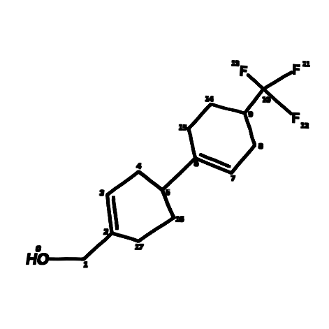 OCC1=CCC(C2=CCC(C(F)(F)F)CC2)CC1